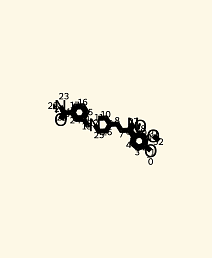 COc1ccc2c(CCC3CCN(Cc4cccc(C(=O)N(C)C)c4)CC3)noc2c1OC